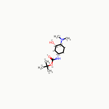 CN(C)[C@H]1CC[C@H](NC(=O)OC(C)(C)C)C[C@@H]1O